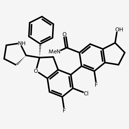 CNC(=O)c1cc2c(c(F)c1-c1c(Cl)c(F)cc3c1C[C@](c1ccccc1)([C@@H]1CCCN1)O3)CCC2O